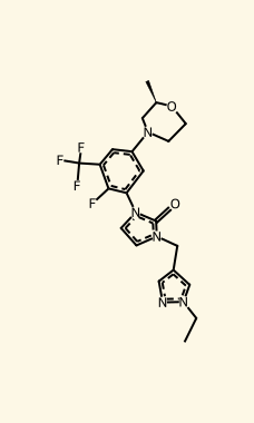 CCn1cc(Cn2ccn(-c3cc(N4CCO[C@H](C)C4)cc(C(F)(F)F)c3F)c2=O)cn1